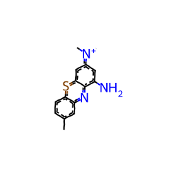 Cc1ccc2sc3cc(=[N+](C)C)cc(N)c-3nc2c1